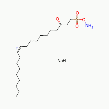 CCCCCCCC/C=C\CCCCCCCC(=O)CCS(=O)(=O)ON.[NaH]